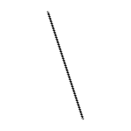 S=S=S=S=S=S=S=S=S=S=S=S=S=S=S=S=S=S=S=S=S=S=S=S=S=S=S=S=S=S=S=S=S=S=S=S=S=S=S=S=S=S=S=S=S=S=S=S=S=S=S=S=S=S=S=S=S=S=S=S=S=S=S=S=S=S=S=S=S=S=S=S=S=S=S=S=S=S=S=S=S=S=S=S=S=S=S=S=S=S=S=S